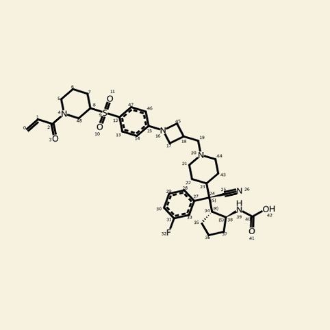 C=CC(=O)N1CCCC(S(=O)(=O)c2ccc(N3CC(CN4CCC([C@@](C#N)(c5cccc(F)c5)[C@H]5CCC[C@@H]5NC(=O)O)CC4)C3)cc2)C1